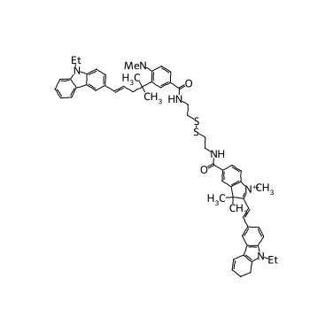 CCn1c2c(c3cc(/C=C/C4=[N+](C)c5ccc(C(=O)NCCSSCCNC(=O)c6ccc(NC)c(C(C)(C)C/C=C/c7ccc8c(c7)c7ccccc7n8CC)c6)cc5C4(C)C)ccc31)C=CCC2